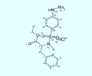 CCOC(=O)C(Cc1ccccc1)N(C)S(=O)(=O)c1ccc(NN)cc1.Cl